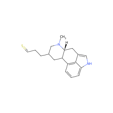 CN1CC(CCC=S)CC2c3cccc4[nH]cc(c34)C[C@H]21